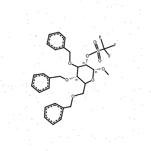 CO[C@@H]1OC(COCc2ccccc2)[C@H](OCc2ccccc2)C(OCc2ccccc2)[C@@H]1OS(=O)(=O)C(F)(F)F